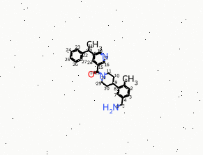 Cc1ccc(CN)cc1C1CCN(C(=O)c2cncc(C(C)c3ccccc3)c2)CC1